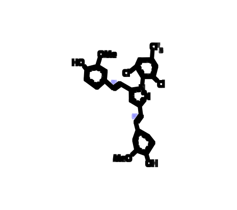 COc1cc(/C=C/c2cc(/C=C/c3ccc(O)c(OC)c3)n(-c3c(Cl)cc(C(F)(F)F)cc3Cl)n2)ccc1O